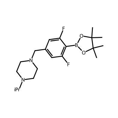 CC(C)N1CCN(Cc2cc(F)c(B3OC(C)(C)C(C)(C)O3)c(F)c2)CC1